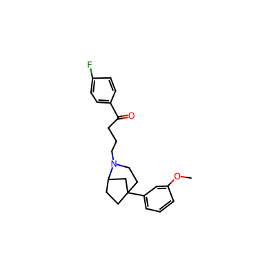 COc1cccc(C23CCC(C2)N(CCCC(=O)c2ccc(F)cc2)CC3)c1